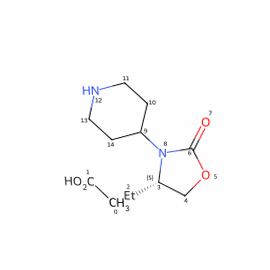 CC(=O)O.CC[C@H]1COC(=O)N1C1CCNCC1